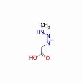 CN/N=N\CC(=O)O